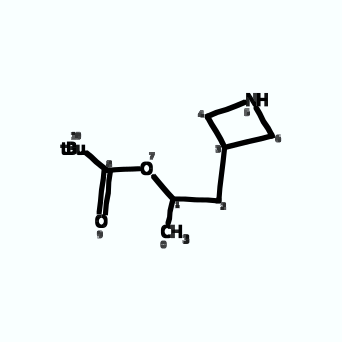 CC(CC1CNC1)OC(=O)C(C)(C)C